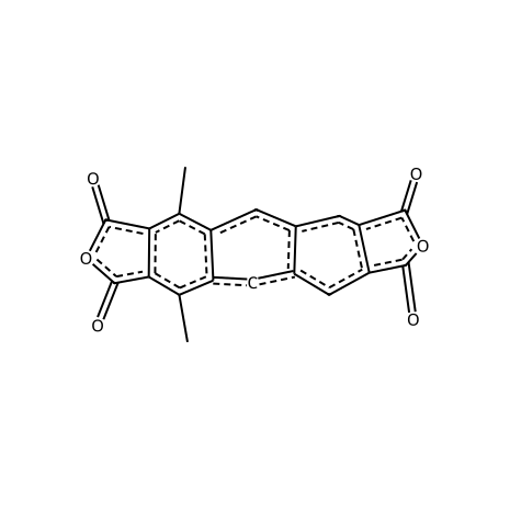 Cc1c2cc3cc4c(=O)oc(=O)c4cc3cc2c(C)c2c(=O)oc(=O)c12